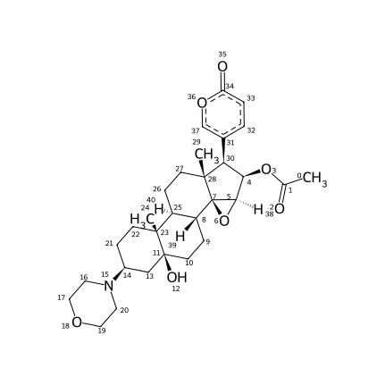 CC(=O)O[C@H]1[C@H]2O[C@]23[C@@H]2CC[C@]4(O)C[C@@H](N5CCOCC5)CC[C@]4(C)[C@H]2CC[C@]3(C)[C@H]1c1ccc(=O)oc1